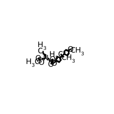 CCCCN(CCS(C)(=O)=O)CCS(=O)(=O)Oc1ccc(C(C)(C)c2ccc(OC)cc2)cc1